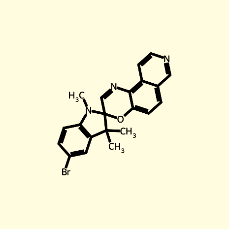 CN1c2ccc(Br)cc2C(C)(C)C12C=Nc1c(ccc3cnccc13)O2